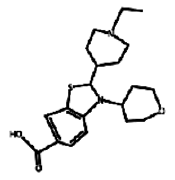 CCN1CCC(C2Sc3cc(C(=O)O)ccc3N2C2CCOCC2)CC1